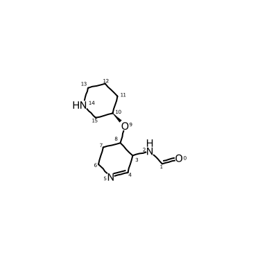 O=CNC1C=NCCC1O[C@@H]1CCCNC1